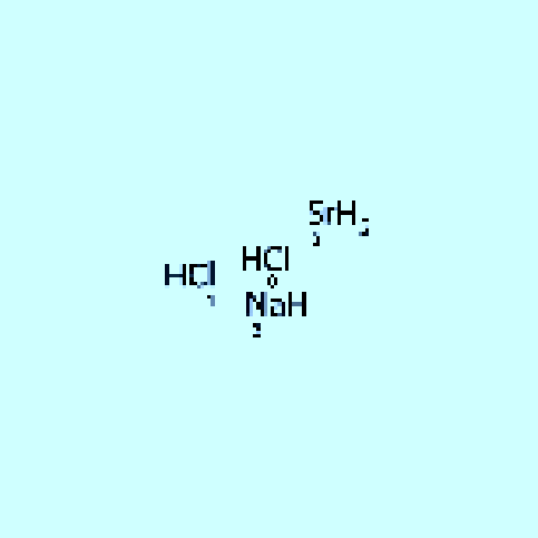 Cl.Cl.[NaH].[SrH2]